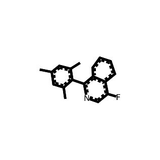 Cc1cc(C)c(-c2ncc(F)c3ccccc23)c(C)c1